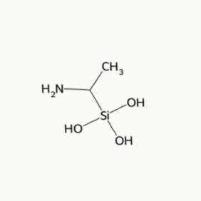 CC(N)[Si](O)(O)O